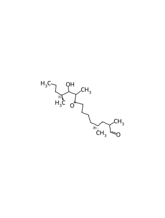 CCC[C@H](C)C(O)C(C)C(=O)CCCC[C@@H](C)CC(C)C=O